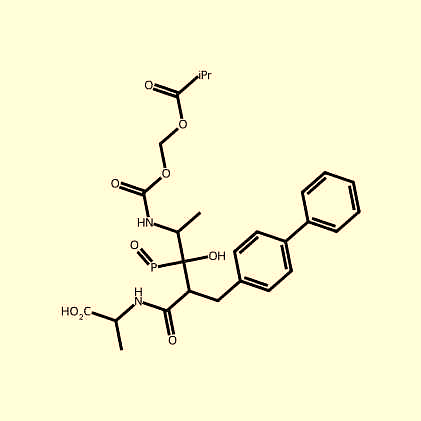 CC(C)C(=O)OCOC(=O)NC(C)C(O)(P=O)C(Cc1ccc(-c2ccccc2)cc1)C(=O)NC(C)C(=O)O